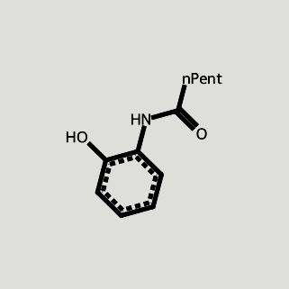 CCC[CH]CC(=O)Nc1ccccc1O